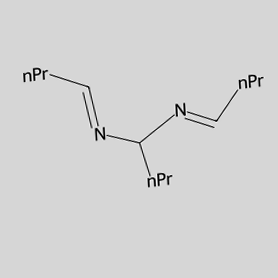 CCCC=NC(CCC)N=CCCC